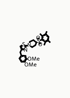 COc1ccc(Cc2csc(N3CCC(S(=O)(=O)c4c(C)c(C)cc(C)c4C)CC3)n2)cc1OC